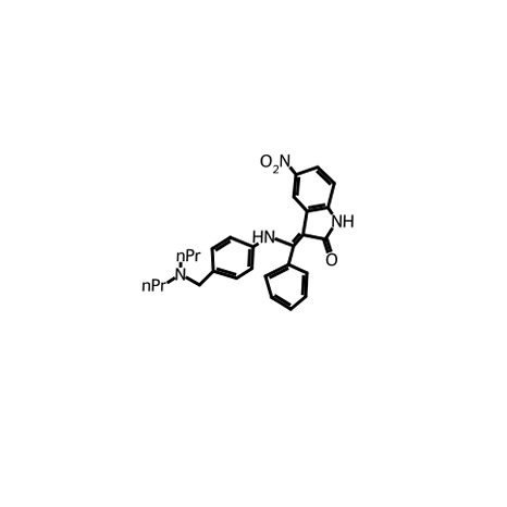 CCCN(CCC)Cc1ccc(NC(=C2C(=O)Nc3ccc([N+](=O)[O-])cc32)c2ccccc2)cc1